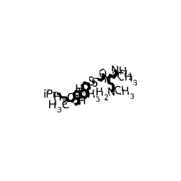 CC(C)CCC[C@@H](C)[C@H]1CC[C@H]2[C@@H]3CC=C4C[C@@H](SSCCC(=O)N(CCC(C)N)CCC(C)N)CC[C@]4(C)[C@H]3CC[C@]12C